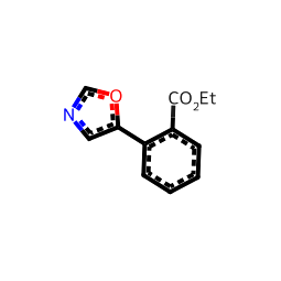 CCOC(=O)c1ccccc1-c1cnco1